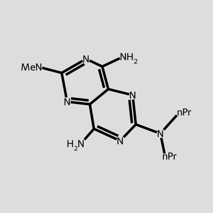 CCCN(CCC)c1nc(N)c2nc(NC)nc(N)c2n1